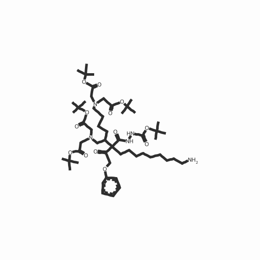 CC(C)(C)OC(=O)CN(CCCCC(CN(CC(=O)OC(C)(C)C)CC(=O)OC(C)(C)C)C(CCCCCCCCCN)(C(=O)COc1ccccc1)C(=O)NNC(=O)OC(C)(C)C)CC(=O)OC(C)(C)C